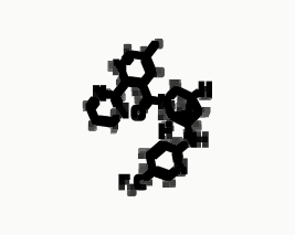 Cc1cnc(-c2ncccn2)c(C(=O)N2C[C@@H]3C[C@@H](Nc4ccc(C(F)(F)F)cn4)[C@@H]2C3)c1